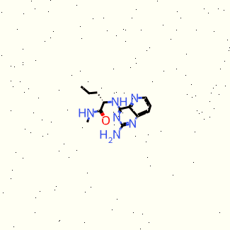 CCC[C@H](Nc1nc(N)nc2cccnc12)C(=O)NC